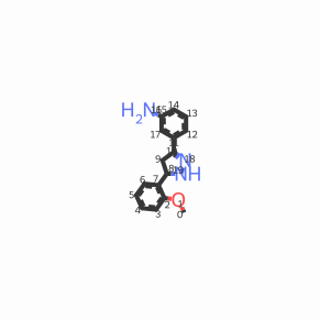 COc1ccccc1C1CC(c2cccc(N)c2)=NN1